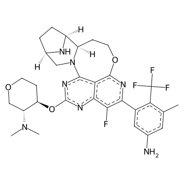 Cc1cc(N)cc(-c2nc3c4c(nc(O[C@@H]5CCOC[C@H]5N(C)C)nc4c2F)N2C[C@H]4CC[C@H](N4)[C@H]2CCO3)c1C(F)(F)F